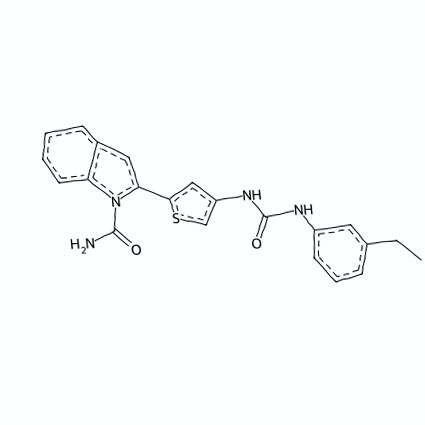 CCc1cccc(NC(=O)Nc2csc(-c3cc4ccccc4n3C(N)=O)c2)c1